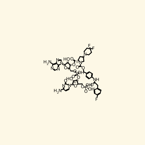 Nc1ccn([C@@H]2OC(COP(=O)(O)O)[C@@H](OP(=O)(O)OC[C@H]3O[C@@H](n4cnc5c(N)ncnc54)[C@H](O)[C@@H]3OC(=O)[C@@H]3C[C@@H](N4CCC(F)(F)CC4)CN3C(=O)OCc3ccc(NC(=O)Cc4ccc(F)cc4)cc3)[C@H]2O)c(=O)n1